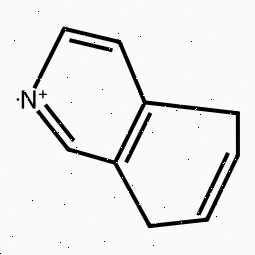 C1=CCC2=C(C=C[N+]=C2)C1